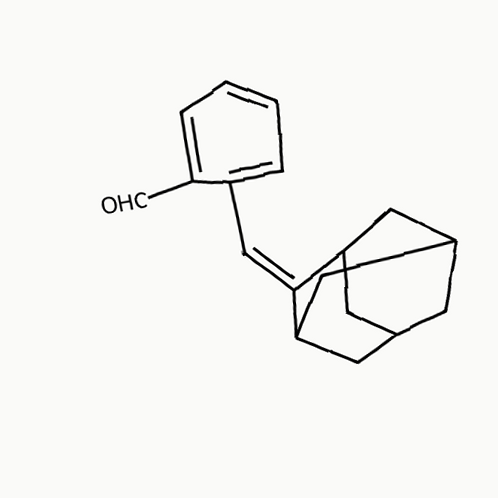 O=Cc1ccccc1C=C1C2CC3CC(C2)CC1C3